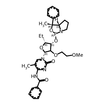 CC[C@H]1O[C@@H](n2cc(C)c(NC(=O)c3ccccc3)nc2=O)C(OCCOC)[C@H]1O[P@@]1O[C@](C)(c2ccccc2)[C@@H]2CCCN21